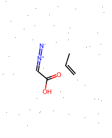 C=CC.[N-]=[N+]=CC(=O)O